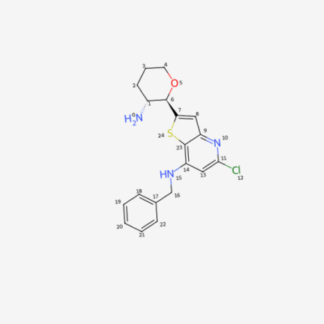 N[C@@H]1CCCO[C@H]1c1cc2nc(Cl)cc(NCc3ccccc3)c2s1